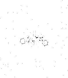 NC(=NS(=O)(=O)N1CCCCC1)OC(N)=NS(=O)(=O)N1CCCCC1